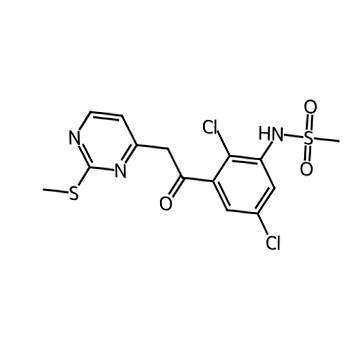 CSc1nccc(CC(=O)c2cc(Cl)cc(NS(C)(=O)=O)c2Cl)n1